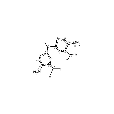 CC(C)c1cc(C(C)c2ccc(N)c(C(C)C)c2)ccc1N